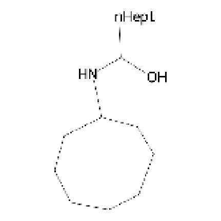 CCCCCCCC(O)NC1CCCCCCC1